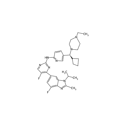 CCN1CCN([C@H](c2ccc(Nc3ncc(F)c(-c4cc(F)c5nc(C)n(C(C)C)c5c4)n3)nc2)C2CCC2)CC1